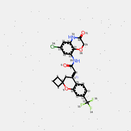 O=C(/C=C1\CC2(CCC2)Oc2cc(C(F)(F)F)ccc21)Nc1cc(Cl)cc2c1OCC(=O)N2